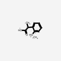 C.CC(C(=O)O)c1ccccc1O